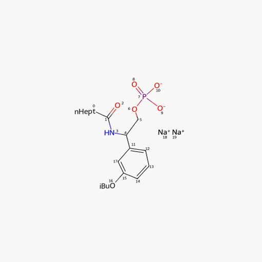 CCCCCCCC(=O)NC(COP(=O)([O-])[O-])c1cccc(OCC(C)C)c1.[Na+].[Na+]